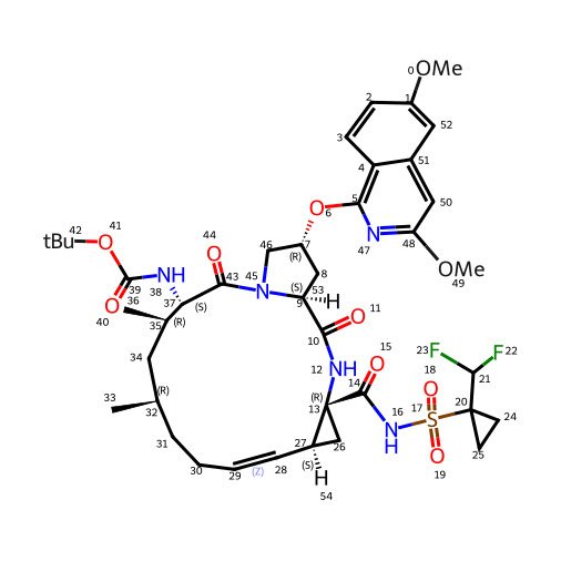 COc1ccc2c(O[C@@H]3C[C@H]4C(=O)N[C@]5(C(=O)NS(=O)(=O)C6(C(F)F)CC6)C[C@H]5/C=C\CC[C@@H](C)C[C@@H](C)[C@H](NC(=O)OC(C)(C)C)C(=O)N4C3)nc(OC)cc2c1